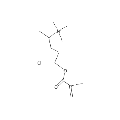 C=C(C)C(=O)OCCCC(C)[N+](C)(C)C.[Cl-]